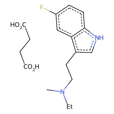 CCN(C)CCc1c[nH]c2ccc(F)cc12.O=C(O)CCC(=O)O